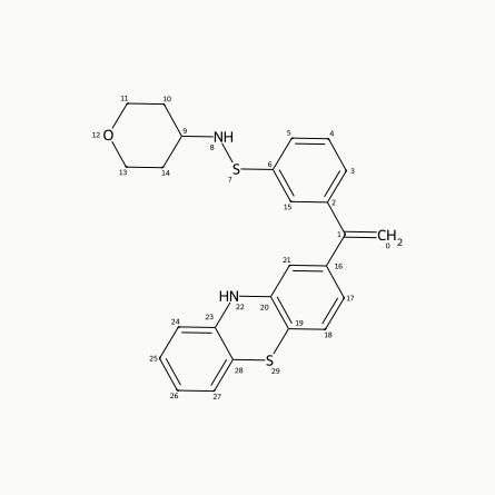 C=C(c1cccc(SNC2CCOCC2)c1)c1ccc2c(c1)Nc1ccccc1S2